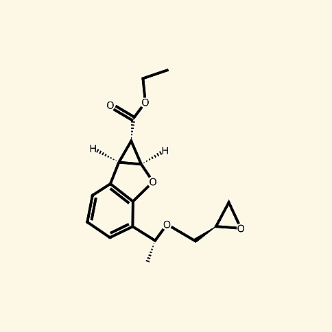 CCOC(=O)[C@@H]1[C@H]2Oc3c(cccc3[C@@H](C)OC[C@H]3CO3)[C@H]21